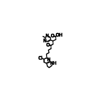 Cc1ncc(C(CC(=O)O)CC(=O)CCCCc2nc3c(cc2Cl)CCCN3)cn1